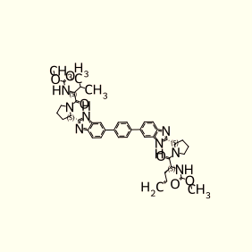 C=CC[C@H](NC(=O)OC)C(=O)N1CCC[C@H]1c1nc2ccc(-c3ccc(-c4ccc5nc([C@@H]6CCCN6C(=O)[C@@H](NC(=O)OC)C(C)C)[nH]c5c4)cc3)cc2[nH]1